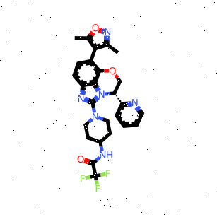 Cc1noc(C)c1-c1ccc2nc(N3CCC(NC(=O)C(F)(F)F)CC3)n3c2c1OC[C@@H]3c1ccccn1